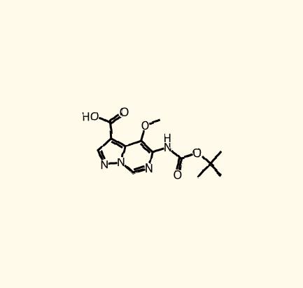 COc1c(NC(=O)OC(C)(C)C)ncn2ncc(C(=O)O)c12